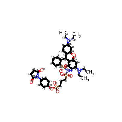 CCN(CC)c1ccc2c(-c3ccccc3S(=O)(=O)NS(=O)(=O)CCCS(=O)(=O)Oc3ccc(N4C(=O)C=CC4=O)cc3)c3ccc(=[N+](CC)CC)cc-3oc2c1